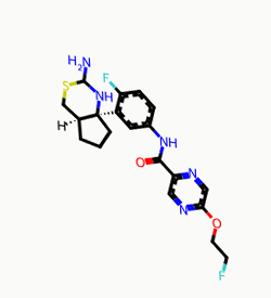 NC1N[C@@]2(c3cc(NC(=O)c4cnc(OCCF)cn4)ccc3F)CCC[C@H]2CS1